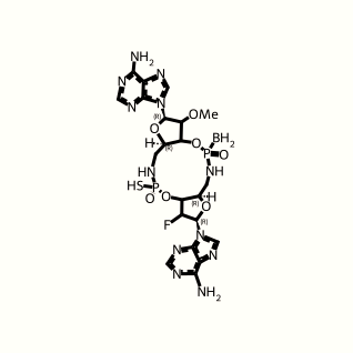 BP1(=O)NC[C@H]2O[C@@H](n3cnc4c(N)ncnc43)C(F)C2OP(=O)(S)NC[C@H]2O[C@@H](n3cnc4c(N)ncnc43)C(OC)C2O1